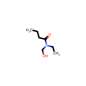 CCCC(=O)N(CC)CO